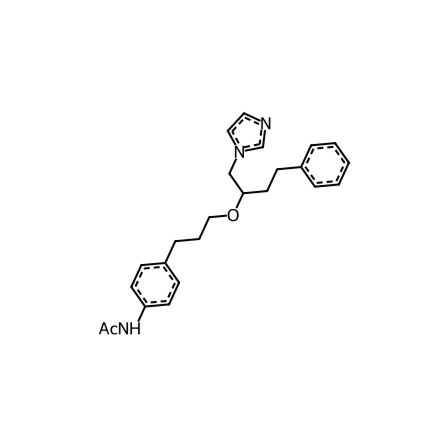 CC(=O)Nc1ccc(CCCOC(CCc2ccccc2)Cn2ccnc2)cc1